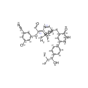 CN(/C=N\C(=C(/C=O)Oc1cc(Cl)cc(C#N)c1)C(F)(P)P)Cc1cc(-c2ccc(C(O)C(F)F)cc2)n[nH]c1=O